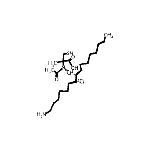 CC(=O)N(C)C(C)(CS)C(=O)O.CCCCCCCCCCCCCCCCN.Cl